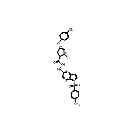 CC[C@@H]1C[C@@H](Oc2ccc(C#N)cc2)C[C@@H]1C(=O)NNc1cnc2c(ccn2S(=O)(=O)c2ccc(C)cc2)n1